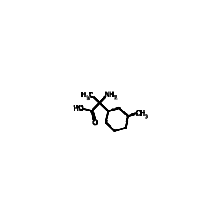 CC1CCCC(C(C)(N)C(=O)O)C1